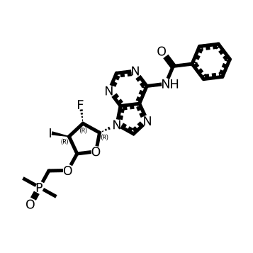 CP(C)(=O)COC1O[C@@H](n2cnc3c(NC(=O)c4ccccc4)ncnc32)[C@@H](F)[C@@H]1I